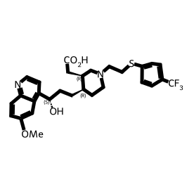 COc1ccc2nccc([C@@H](O)CC[C@@H]3CCN(CCSc4ccc(C(F)(F)F)cc4)C[C@@H]3CC(=O)O)c2c1